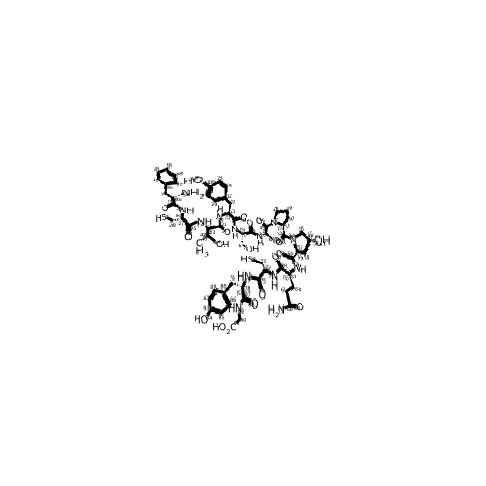 CC[C@H](C)[C@H](NC(=O)[C@H](CO)NC(=O)[C@H](Cc1ccc(O)cc1)NC(=O)[C@@H](NC(=O)[C@H](CS)NC(=O)[C@@H](N)Cc1ccccc1)[C@@H](C)O)C(=O)N1CCC[C@H]1C(=O)N1C[C@H](O)C[C@H]1C(=O)N[C@@H](CCC(N)=O)C(=O)N[C@@H](CS)C(=O)N[C@@H](Cc1ccc(O)cc1)C(=O)NCC(=O)O